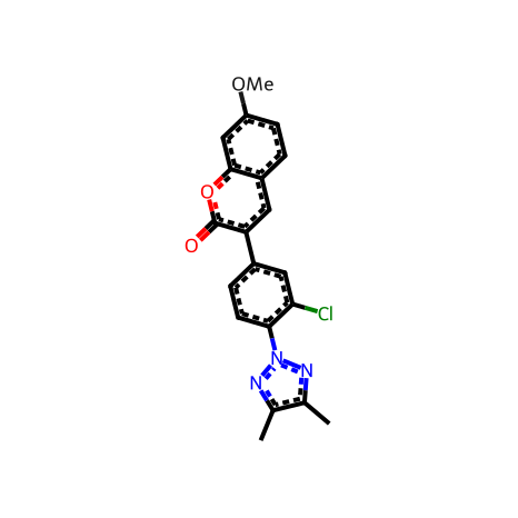 COc1ccc2cc(-c3ccc(-n4nc(C)c(C)n4)c(Cl)c3)c(=O)oc2c1